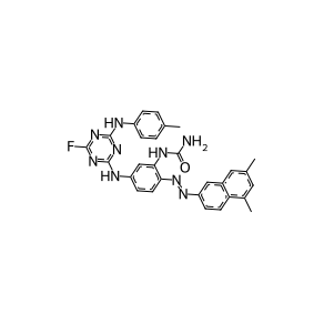 Cc1ccc(Nc2nc(F)nc(Nc3ccc(N=Nc4ccc5c(C)cc(C)cc5c4)c(NC(N)=O)c3)n2)cc1